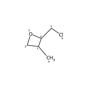 CC1COC1CCl